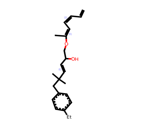 C=C/C=C\C=C(/C)OCC(O)/C=C/C(C)(C)Cc1ccc(CC)cc1